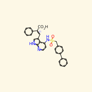 O=C(O)/C(=C/c1c[nH]c2nccc(NS(=O)(=O)Cc3ccc(-c4ccccc4)cc3)c12)c1ccccc1